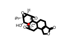 CC(C)[C@]12O[C@H]1[C@@H]1O[C@]13[C@]1(O[C@H]1CC1C4=C(CC[C@@]13C)C(=O)OC4)[C@@H]2O